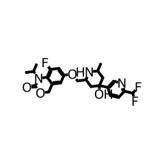 CC1CC(O)(c2ccc(C(F)F)nc2)CC(COc2cc(F)c3c(c2)COC(=O)N3C(C)C)N1